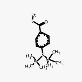 CCSC(=O)c1ccc(N([Si](C)(C)C)[Si](C)(C)C)cc1